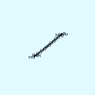 CCCCC(=O)NCCOCCOCCOCCOCCOCCOCCOCCOCCOCCOCCNC(=O)CO